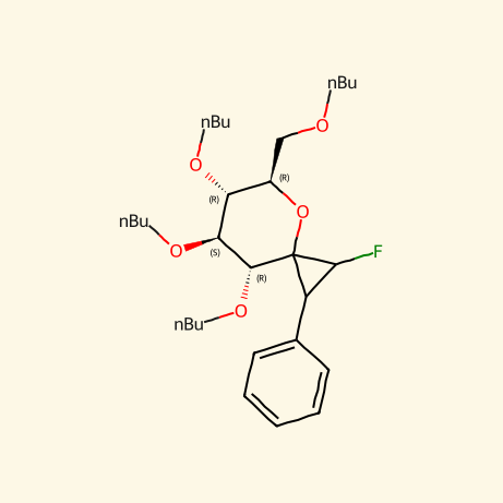 CCCCOC[C@H]1OC2(C(F)C2c2ccccc2)[C@H](OCCCC)[C@@H](OCCCC)[C@@H]1OCCCC